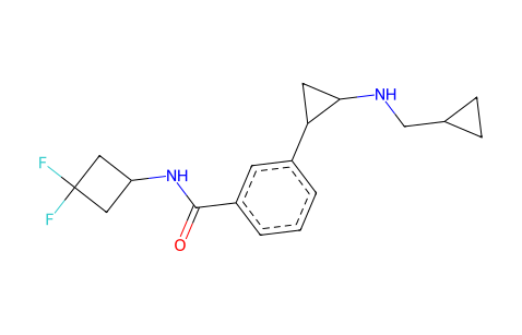 O=C(NC1CC(F)(F)C1)c1cccc(C2CC2NCC2CC2)c1